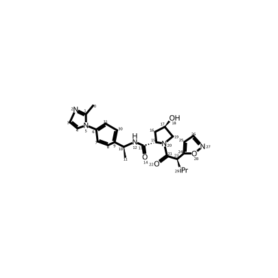 Cc1nccn1-c1ccc([C@H](C)NC(=O)[C@@H]2C[C@@H](O)CN2C(=O)[C@@H](c2ccno2)C(C)C)cc1